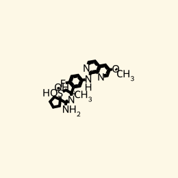 COc1cnc2c(Nc3ccc(F)c([C@]4(C)CS(O)(O)C5(CCCC5)C(N)=N4)c3)nccc2c1